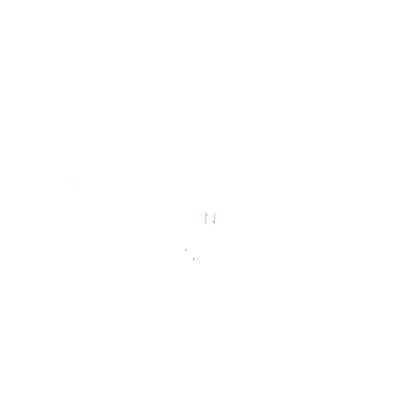 O=C1C[C@@H](c2nc3ccccc3n2CCOc2ccccc2)CC1c1ccccc1Br